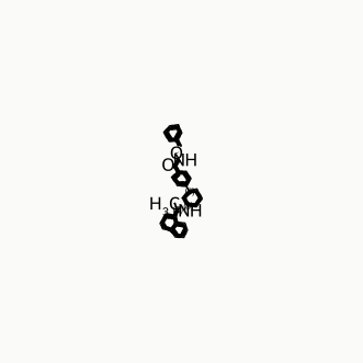 C[C@@H](N[C@H]1CCC[C@H](c2ccc(C(=O)NOCc3ccccc3)cc2)C1)c1cccc2ccccc12